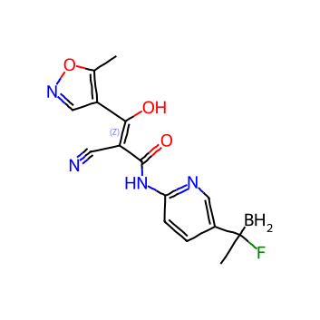 BC(C)(F)c1ccc(NC(=O)/C(C#N)=C(\O)c2cnoc2C)nc1